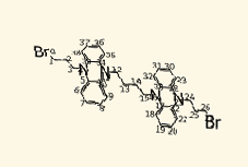 BrCCCN1c2ccccc2N(CCCCN2c3ccccc3N(CCCBr)c3ccccc32)c2ccccc21